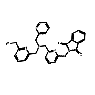 CC(C)Cc1cccc(CN(Cc2ccccn2)Cc2cccc(CN3C(=O)c4ccccc4C3=O)n2)n1